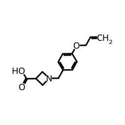 C=CCOc1ccc(CN2CC(C(=O)O)C2)cc1